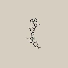 CCO[C@@H](Cc1c(C)cc(OCc2nc(-c3ccc(C(C)C)cc3)oc2C)cc1C)C(=O)OC